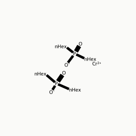 CCCCCCP(=O)([O-])CCCCCC.CCCCCCP(=O)([O-])CCCCCC.[Cr+2]